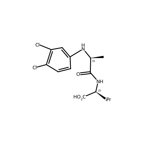 CC(C)[C@H](NC(=O)[C@H](C)Nc1ccc(Cl)c(Cl)c1)C(=O)O